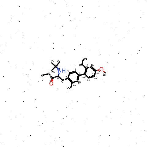 CCC(=O)C(Cc1ccc(-c2ccc(OC)cc2CC)cc1C)NC(C)(C)C